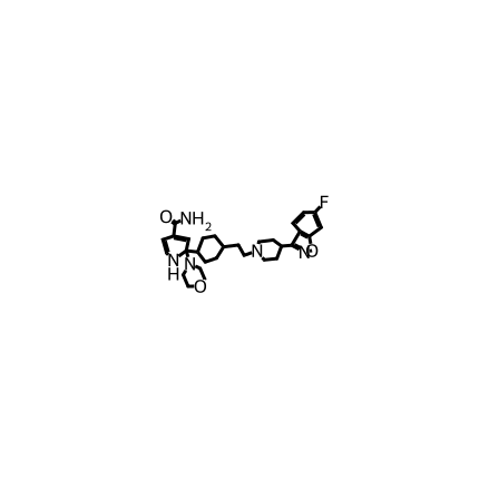 NC(=O)C1=CC(C2CCC(CCN3CCC(c4noc5cc(F)ccc45)CC3)CC2)(N2CCOCC2)NC=C1